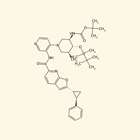 C[C@H]1CN(c2ccncc2NC(=O)c2ccc3cc([C@@H]4C[C@H]4c4ccccc4)oc3n2)C[C@@H](NC(=O)OC(C)(C)C)[C@@H]1O[Si](C)(C)C(C)(C)C